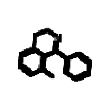 Cc1cccc2c1C(c1ccccc1)=NCC2